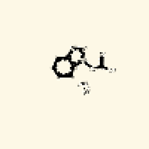 N.O=C(O)On1nnc2ccccc21.[Ag]